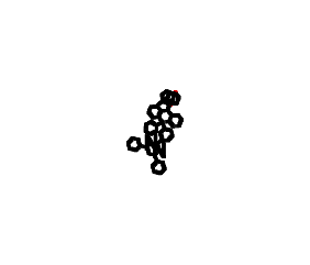 c1ccc(-c2cc(-c3ccccc3)nc(-c3cccc(C4(c5ccccc5)c5ccccc5C5(c6ccccc6)c6ccccc6-c6cccc4c65)c3)n2)cc1